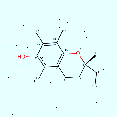 [CH2]C[C@]1(C)CCc2c(C)c(O)c(C)c(C)c2O1